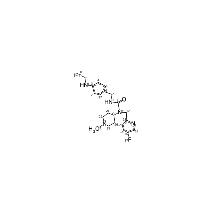 CC(C)CNc1ccc(CNC(=O)N(Cc2ccc(F)cn2)C2CCN(C)CC2)cc1